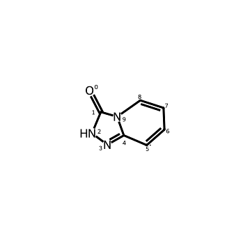 O=c1[nH]nc2[c]cccn12